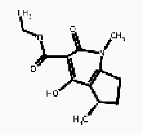 CCOC(=O)c1c(O)c2c(n(C)c1=O)CC[C@H]2C